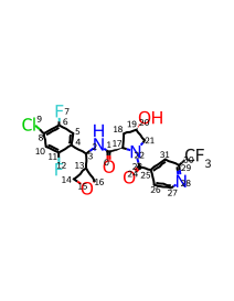 O=C(NC(c1cc(F)c(Cl)cc1F)C1COC1)[C@H]1C[C@H](O)CN1C(=O)c1ccnc(C(F)(F)F)c1